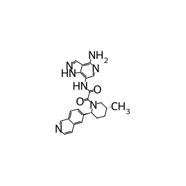 C[C@@H]1CC[C@@H](c2ccc3cnccc3c2)N(C(=O)C(=O)Nc2cnc(N)c3cn[nH]c23)C1